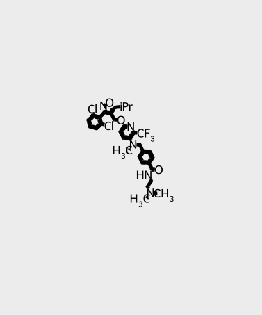 CC(C)c1onc(-c2c(Cl)cccc2Cl)c1COc1ccc(N(C)Cc2ccc(C(=O)NCCN(C)C)cc2)c(C(F)(F)F)n1